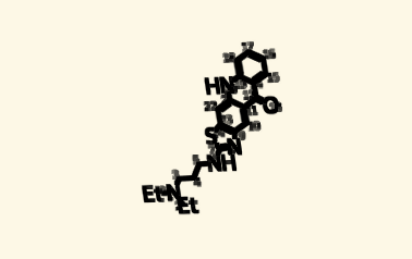 CCN(CC)CCCNc1nc2cc3c(=O)c4ccccc4[nH]c3cc2s1